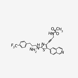 CS(=O)(=O)NCC#Cc1nc(NC[C@H](N)Cc2ccc(C(F)(F)F)cc2)sc1-c1ccc2cnccc2c1